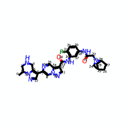 CC1CNCc2c(-c3cn4ncc(C(=O)Nc5cc(NC(=O)CN6CC7CCC6C7)ccc5F)c4cn3)cnn21